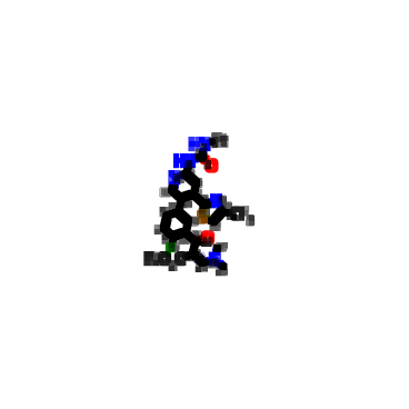 CCNC(=O)Nc1cc(-c2nc(C(F)(F)F)cs2)c(-c2ccc(F)c(C(=O)/C(=C\N(C)C)C(=O)OCC)c2)cn1